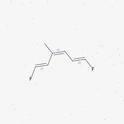 CC(=C/C=C/F)/C=C/F